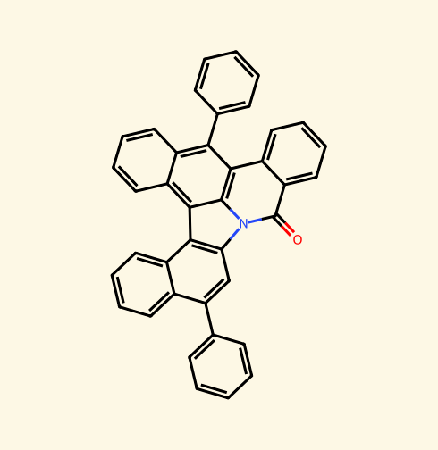 O=c1c2ccccc2c2c(-c3ccccc3)c3ccccc3c3c4c5ccccc5c(-c5ccccc5)cc4n1c23